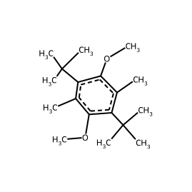 COc1c(C)c(C(C)(C)C)c(OC)c(C)c1C(C)(C)C